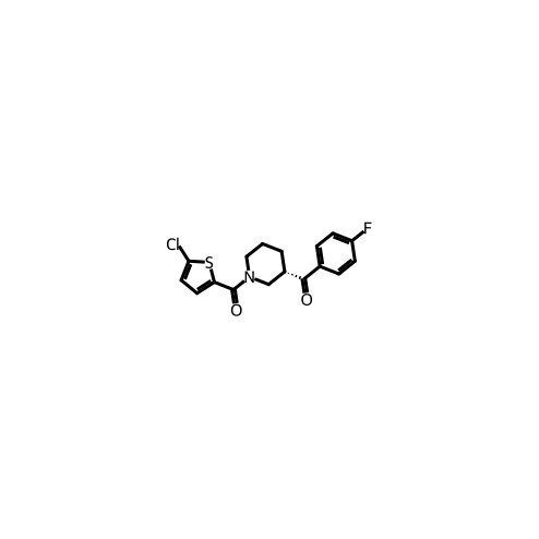 O=C(c1ccc(F)cc1)[C@H]1CCCN(C(=O)c2ccc(Cl)s2)C1